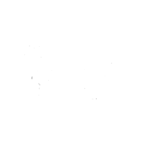 CCCc1cc2c(c(CCC)c1OCCCCN1COC(C)(c3ccccc3)NC1=O)COC2(C(F)(F)F)C(F)(F)F